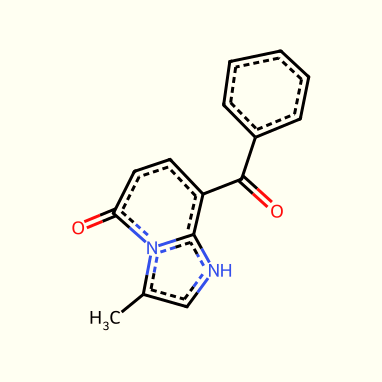 Cc1c[nH]c2c(C(=O)c3ccccc3)ccc(=O)n12